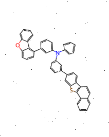 c1ccc(N(c2cccc(-c3ccc4c(c3)sc3c5ccccc5ccc43)c2)c2cccc(-c3cccc4oc5ccccc5c34)c2)cc1